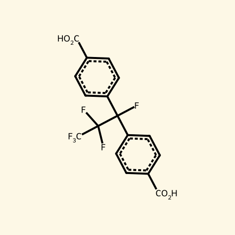 O=C(O)c1ccc(C(F)(c2ccc(C(=O)O)cc2)C(F)(F)C(F)(F)F)cc1